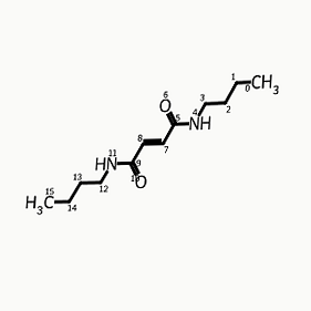 CCCCNC(=O)/C=C/C(=O)NCCCC